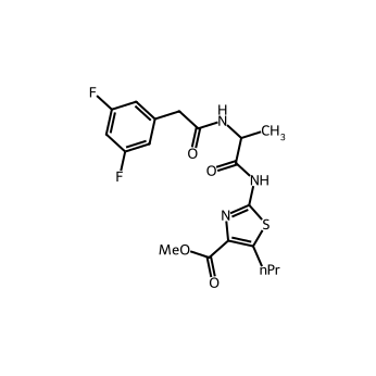 CCCc1sc(NC(=O)C(C)NC(=O)Cc2cc(F)cc(F)c2)nc1C(=O)OC